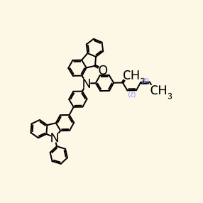 C=C(/C=C\C=C/C)c1ccc(N(c2ccc(-c3ccc4c(c3)c3ccccc3n4-c3ccccc3)cc2)c2cccc3c2C(=O)c2ccccc2-3)cc1